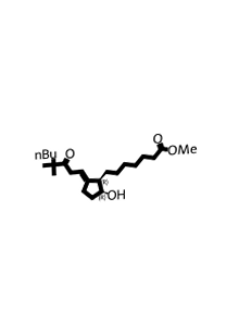 CCCCC(C)(C)C(=O)CC=C1CC[C@@H](O)[C@@H]1CCCCCCC(=O)OC